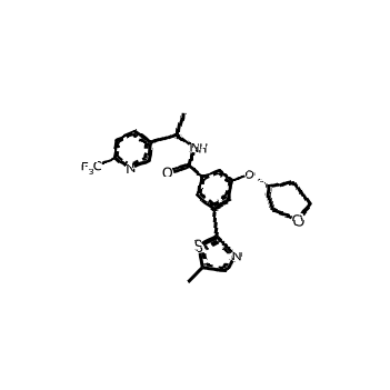 Cc1cnc(-c2cc(O[C@@H]3CCOC3)cc(C(=O)NC(C)c3ccc(C(F)(F)F)nc3)c2)s1